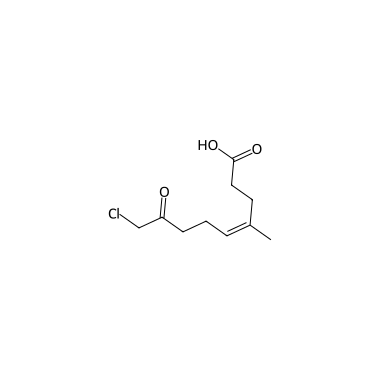 CC(=CCCC(=O)CCl)CCC(=O)O